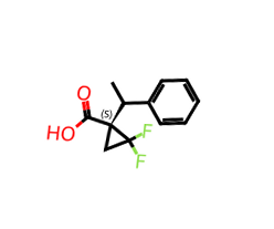 CC(c1ccccc1)[C@]1(C(=O)O)CC1(F)F